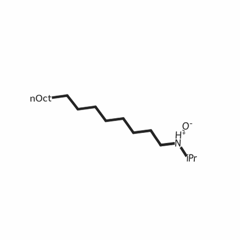 CCCCCCCCCCCCCCCC[NH+]([O-])C(C)C